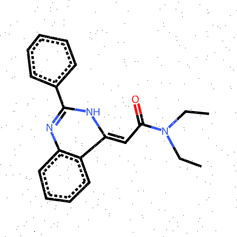 CCN(CC)C(=O)/C=C1\NC(c2ccccc2)=Nc2ccccc21